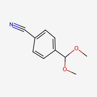 COC(OC)c1ccc(C#N)cc1